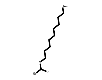 CCCCCCCCCCCCCCCCCCOC([O])CC